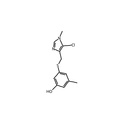 Cc1cc(O)cc(SCc2ncn(C)c2Cl)c1